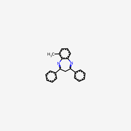 Cc1cccc2c1N=C(c1ccccc1)CC(c1ccccc1)=N2